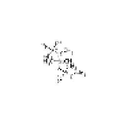 CCC(C)(C)CC(C)(C)C(C)C(F)(F)F